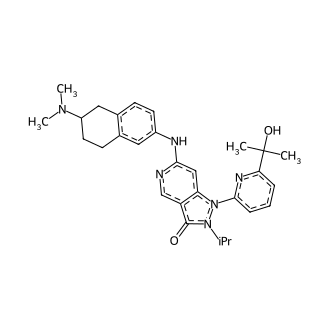 CC(C)n1c(=O)c2cnc(Nc3ccc4c(c3)CCC(N(C)C)C4)cc2n1-c1cccc(C(C)(C)O)n1